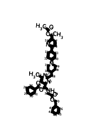 CC(=O)OC(C)c1ccc(-c2ccc(N3CCC(Cc4nc(C)c(OCc5ccccc5)c(C(=O)NCC(=O)OCc5ccccc5)n4)CC3)cc2)nc1